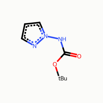 CC(C)(C)OC(=O)Nn1cccn1